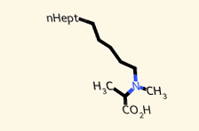 CCCCCCCCCCCCN(C)C(C)C(=O)O